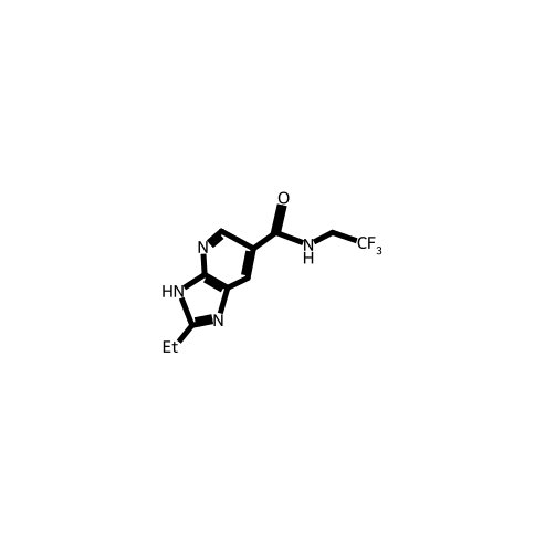 CCc1nc2cc(C(=O)NCC(F)(F)F)cnc2[nH]1